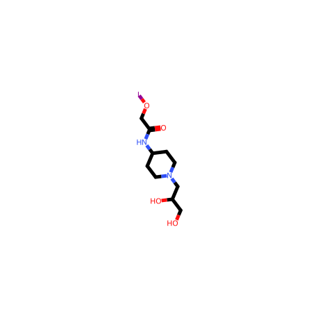 O=C(COI)NC1CCN(CC(O)CO)CC1